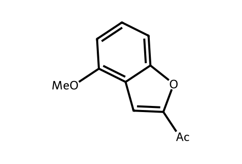 [CH2]Oc1cccc2oc(C(C)=O)cc12